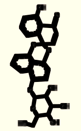 O=C1C=CC2(Oc3cccc4c(OC5OC(CO)C(O)C(O)C5O)ccc(c34)O2)c2cccc(O)c21